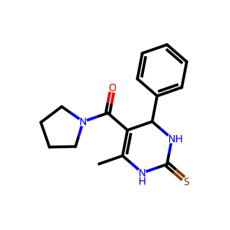 CC1=C(C(=O)N2CCCC2)C(c2ccccc2)NC(=S)N1